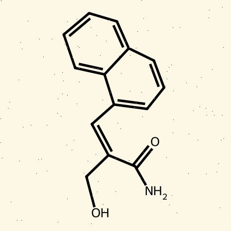 NC(=O)C(=Cc1cccc2ccccc12)CO